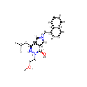 COCCn1nc(CC(C)C)c2cn(Cc3cccc4ccccc34)cc2c1=O